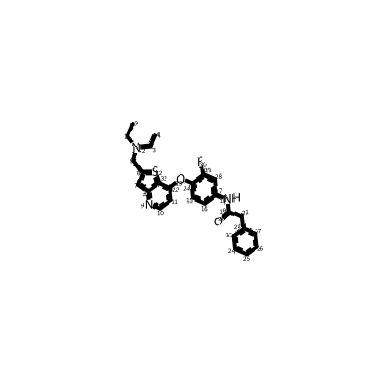 CCN(CC)Cc1cc2nccc(Oc3ccc(NC(=O)Cc4ccccc4)cc3F)c2s1